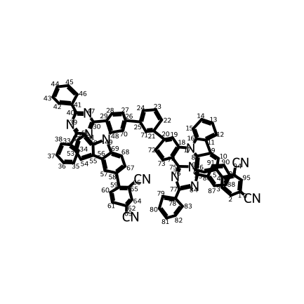 N#Cc1ccc(-c2ccc3c(c2)c2ccccc2n3-c2cc(-c3cccc(-c4ccc(-c5nc(-c6ccccc6)nc(-c6ccccc6)n5)c(-n5c6ccccc6c6cc(-c7ccc(C#N)cc7C#N)ccc65)c4)c3)ccc2-c2nc(-c3ccccc3)nc(-c3ccccc3)n2)c(C#N)c1